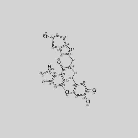 CCc1ccc2oc(CN(CCc3ccc(Cl)c(Cl)c3)C(=O)c3cc(Cl)cc4cc[nH]c34)cc2c1